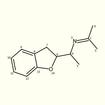 CC(C)=NC(C)C1Cc2ccccc2O1